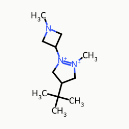 CN1CC([N+]2=[N+](C)CC(C(C)(C)C)C2)C1